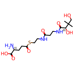 CC(C)(CO)[C@@H](O)C(=O)NCCC(=O)NCCSC(=O)CC[C@H](N)C(=O)O